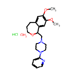 COc1cc2c(cc1OC)C(CN1CCN(c3ccccn3)CC1)OCCC2.Cl.O